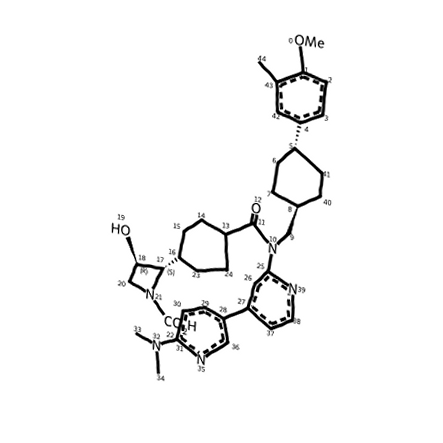 COc1ccc([C@H]2CC[C@H](CN(C(=O)C3CCC([C@H]4[C@H](O)CN4C(=O)O)CC3)c3cc(-c4ccc(N(C)C)nc4)ccn3)CC2)cc1C